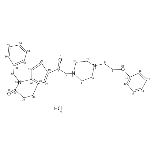 Cl.O=C(CN1CCN(CCOc2ccccc2)CC1)c1ccc2c(c1)CCC(=O)N2Cc1ccccc1